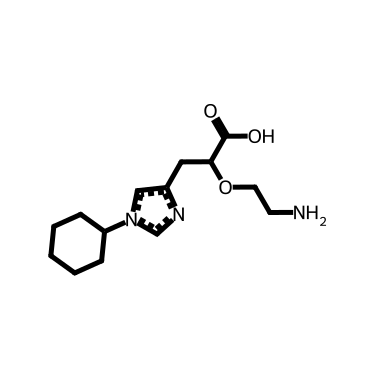 NCCOC(Cc1cn(C2CCCCC2)cn1)C(=O)O